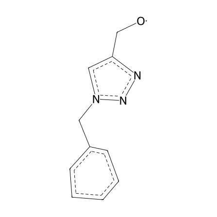 [O]Cc1cn(Cc2ccccc2)nn1